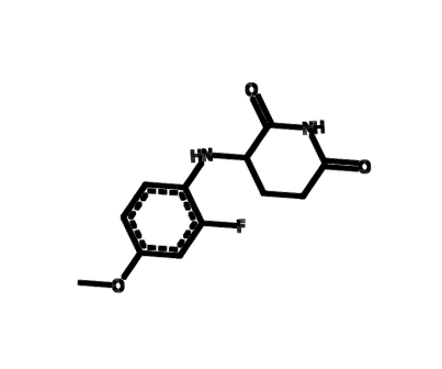 COc1ccc(NC2CCC(=O)NC2=O)c(F)c1